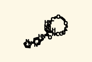 O=C(NCc1ccc(-n2cccn2)nc1)c1cnc2nc1NCCOCCOCCOCCN2